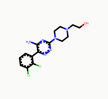 Nc1nc(N2CCN(CCO)CC2)nnc1-c1cccc(Cl)c1Cl